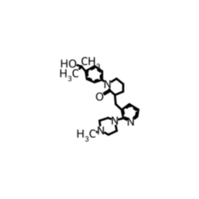 CN1CCN(c2ncccc2CC2CCCN(c3ccc(C(C)(C)O)cc3)C2=O)CC1